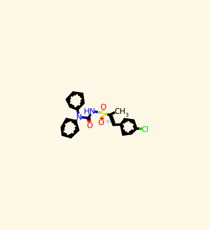 C/C(=C\c1ccc(Cl)cc1)S(=O)(=O)NC(=O)N(c1ccccc1)c1ccccc1